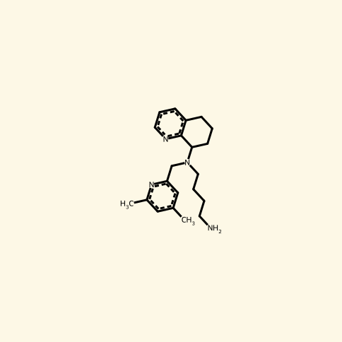 Cc1cc(C)nc(CN(CCCCN)C2CCCc3cccnc32)c1